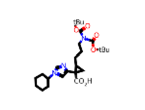 CC(C)(C)OC(=O)N(CCCC1CC1(C(=O)O)c1cn(C2CCCCC2)cn1)C(=O)OC(C)(C)C